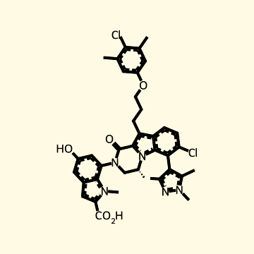 Cc1cc(OCCCc2c3n(c4c(-c5c(C)nn(C)c5C)c(Cl)ccc24)[C@H](C)CN(c2cc(O)cc4cc(C(=O)O)n(C)c24)C3=O)cc(C)c1Cl